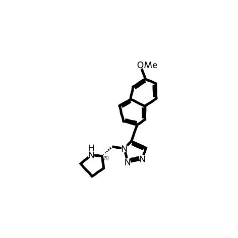 COc1ccc2cc(-c3cnnn3C[C@@H]3CCCN3)ccc2c1